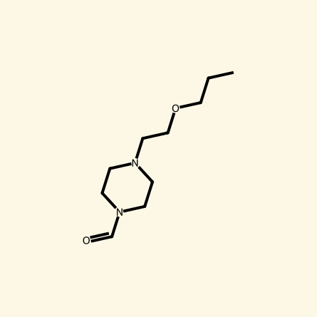 CCCOCCN1CCN(C=O)CC1